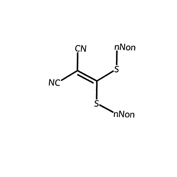 CCCCCCCCCSC(SCCCCCCCCC)=C(C#N)C#N